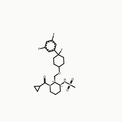 CS(=O)(=O)N[C@H]1CCCN(C(=O)C2CC2)[C@H]1COC1CCC(F)(c2cc(F)cc(F)c2)CC1